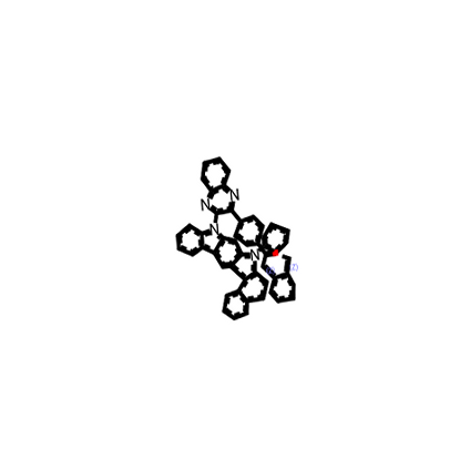 C=C(/C=c1/cccc/c1=C/C)c1ccc(-c2nc3ccccc3nc2-n2c3ccccc3c3cc4c5c6ccccc6ccc5n(-c5ccccc5)c4cc32)cc1